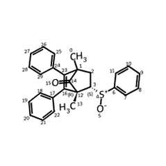 CC12C[C@H]([S+]([O-])c3ccccc3)[C@@](C)(C1=O)C(c1ccccc1)=C2c1ccccc1